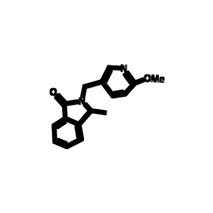 COc1ccc(CN2C(=O)c3ccccc3C2C)cn1